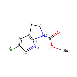 CC(C)(C)OC(=O)N1CCc2cc(Br)cnc21